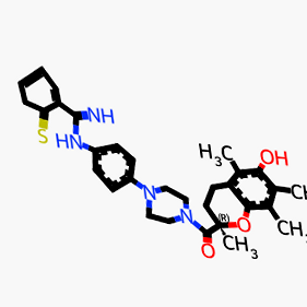 Cc1c(C)c2c(c(C)c1O)CC[C@](C)(C(=O)N1CCN(c3ccc(NC(=N)C4=CC=CCC4=S)cc3)CC1)O2